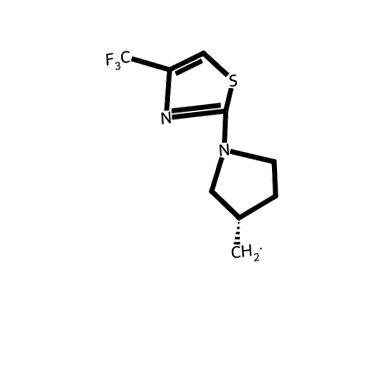 [CH2][C@H]1CCN(c2nc(C(F)(F)F)cs2)C1